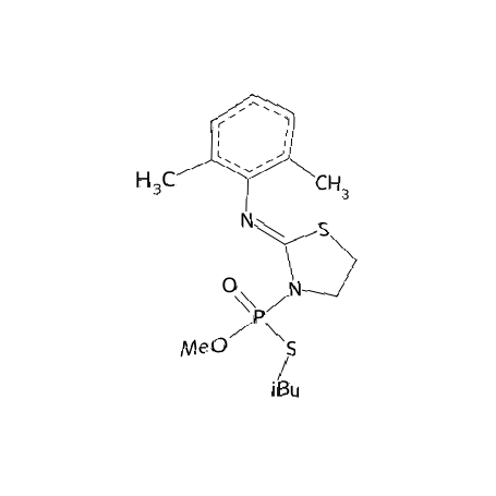 CCC(C)SP(=O)(OC)N1CCSC1=Nc1c(C)cccc1C